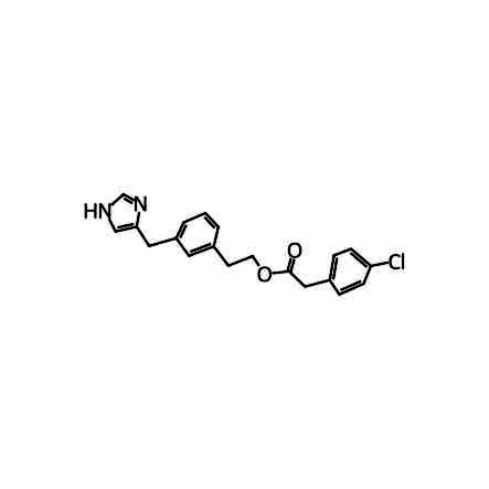 O=C(Cc1ccc(Cl)cc1)OCCc1cccc(Cc2c[nH]cn2)c1